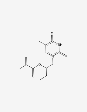 C=C(C)C(=O)OC(CC)Cn1cc(C)c(=O)[nH]c1=O